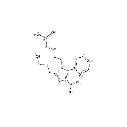 CCCCc1nc2c(N)nc3ccccc3c2n1CCCCC(N)=O